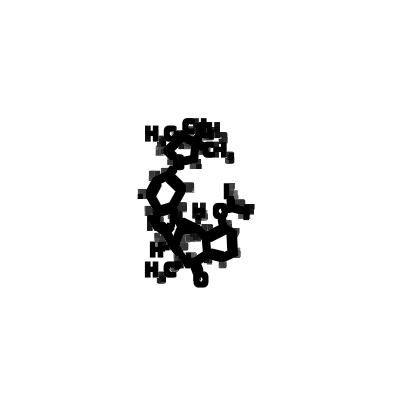 CN1C(=O)c2cccc(OC(F)F)c2[C@H]2C[C@@H]1c1nc3ccc(B4CC(C)(C)C(C)(C)C4)cc3n12